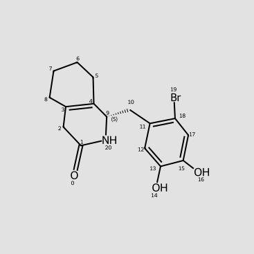 O=C1CC2=C(CCCC2)[C@H](Cc2cc(O)c(O)cc2Br)N1